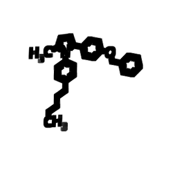 CCCCCc1ccc(-n2c(C)ccc2-c2ccc(OCc3ccccc3)cc2)cc1